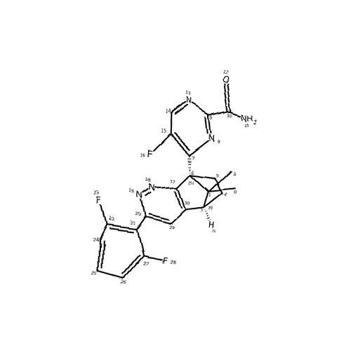 CC1(C)[C@H]2CC[C@]1(c1nc(C(N)=O)ncc1F)c1nnc(-c3c(F)cccc3F)cc12